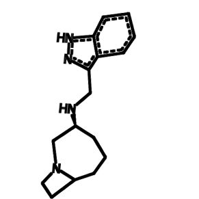 c1ccc2c(CN[C@H]3CCCC4CCN4C3)n[nH]c2c1